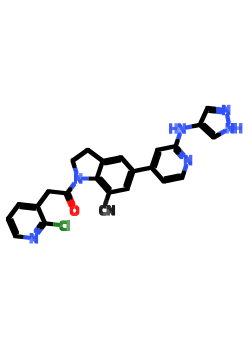 N#Cc1cc(-c2ccnc(Nc3cn[nH]c3)c2)cc2c1N(C(=O)Cc1cccnc1Cl)CC2